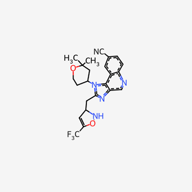 CC1(C)CC(n2c(CC3C=C(C(F)(F)F)ON3)nc3cnc4ccc(C#N)cc4c32)CCO1